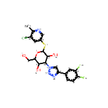 N#Cc1ncc(SC2OC(CO)C(O)C(n3cc(-c4ccc(F)c(F)c4)nn3)C2O)cc1Cl